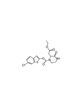 CCOC(=O)CC1C(=O)NCCN1S(=O)Oc1cc2ccc(Cl)cc2s1